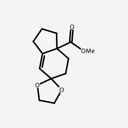 COC(=O)C12CCCC1=CC1(CC2)OCCO1